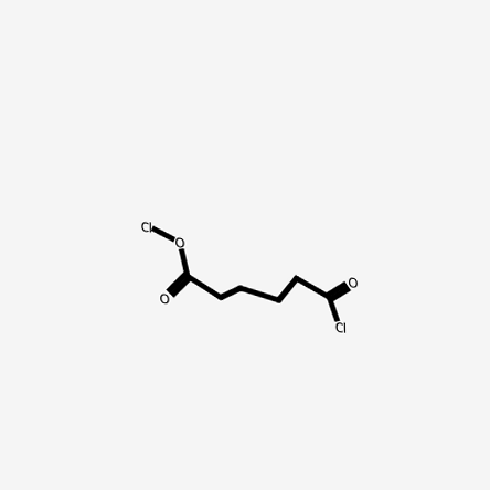 O=C(Cl)CCCCC(=O)OCl